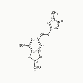 Cn1cc(COc2cc(C#N)c3c(c2)CC(C=O)C3)cn1